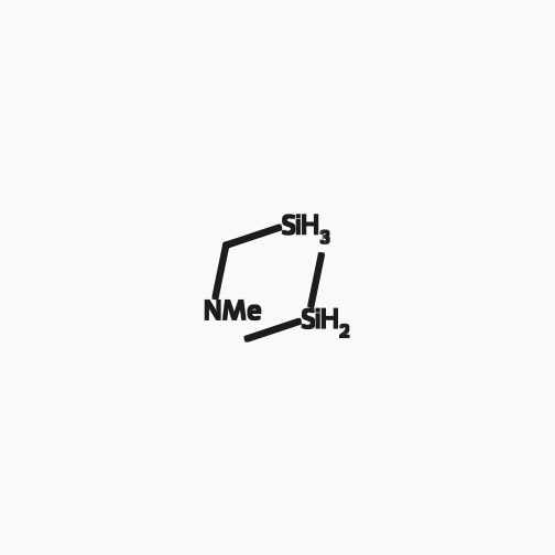 CNC[SiH3].C[SiH2]C